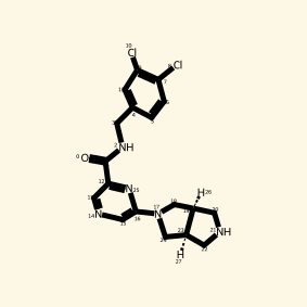 O=C(NCc1ccc(Cl)c(Cl)c1)c1cncc(N2C[C@H]3CNC[C@H]3C2)n1